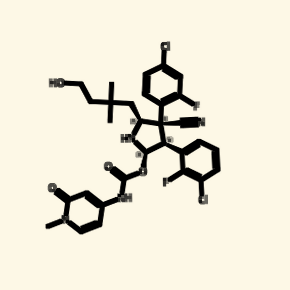 Cn1ccc(NC(=O)O[C@H]2N[C@@H](CC(C)(C)CCO)[C@](C#N)(c3ccc(Cl)cc3F)[C@H]2c2cccc(Cl)c2F)cc1=O